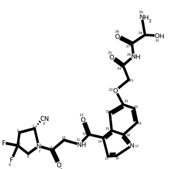 N#C[C@H]1CC(F)(F)CN1C(=O)CNC(=O)c1ccnc2ccc(OCC(=O)NC(=O)C(N)O)cc12